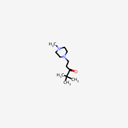 CN1CCN(CCC(=O)C(C)(C)C)CC1